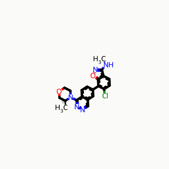 CNc1noc2c(-c3ccc4c(N5CCOC[C@@H]5C)nncc4c3)c(Cl)ccc12